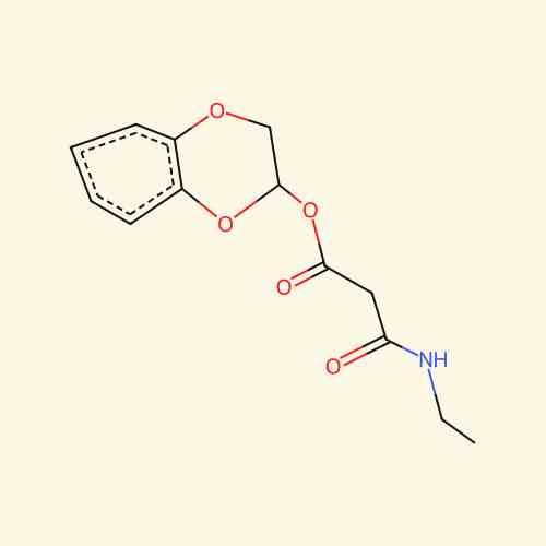 CCNC(=O)CC(=O)OC1COc2ccccc2O1